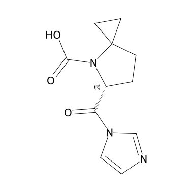 O=C(O)N1[C@@H](C(=O)n2ccnc2)CCC12CC2